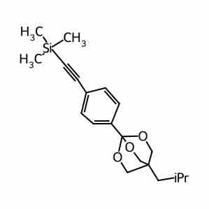 CC(C)CC12COC(c3ccc(C#C[Si](C)(C)C)cc3)(OC1)OC2